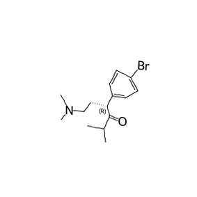 CC(C)C(=O)[C@H](CCN(C)C)c1ccc(Br)cc1